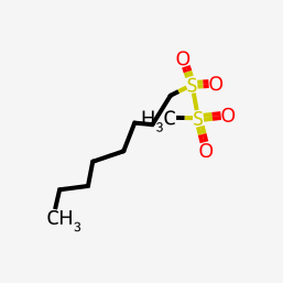 CCCCCCCCS(=O)(=O)S(C)(=O)=O